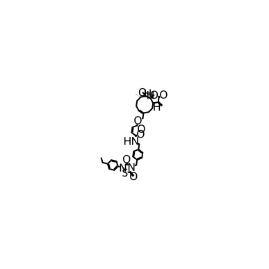 C=C1C(=O)O[C@H]2[C@H]1CC/C(COC(=O)/C=C\C(=O)NCc1ccc(Cn3c(=O)sn(-c4ccc(CC)cc4)c3=O)cc1)=C\CC[C@@]1(C)O[C@@H]21